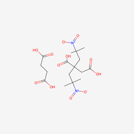 CC(C)(CC(CC(=O)O)(CC(C)(C)[N+](=O)[O-])C(=O)O)[N+](=O)[O-].O=C(O)CCC(=O)O